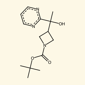 CC(C)(C)OC(=O)N1CC(C(C)(O)c2ncccn2)C1